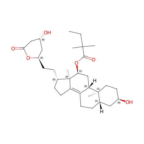 CCC(C)(C)C(=O)O[C@H]1C[C@H]2C(=C3CC[C@H](CC[C@@H]4C[C@@H](O)CC(=O)O4)[C@]31C)CC[C@H]1C[C@H](O)CC[C@@]12C